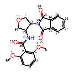 COc1cccc(OC)c1C(=O)NC1COCC1N1C(=O)c2ccccc2C1=O